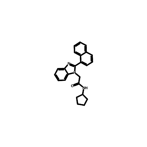 O=C(Cn1c(-c2cccc3ccccc23)nc2ccccc21)NC1CCCC1